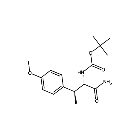 COc1ccc([C@H](C)[C@H](NC(=O)OC(C)(C)C)C(N)=O)cc1